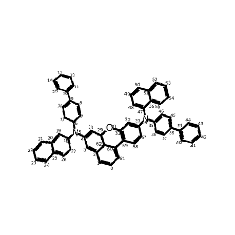 C1=CC2=CC(N(C3C=CC(c4ccccc4)=CC3)C3C=c4ccccc4=CC3)=CC3Oc4cc(N(c5ccc(-c6ccccc6)cc5)c5cccc6ccccc56)ccc4C(=C1)C23